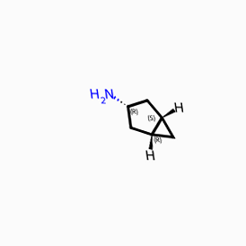 N[C@@H]1C[C@@H]2C[C@@H]2C1